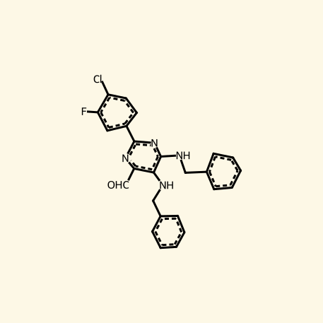 O=Cc1nc(-c2ccc(Cl)c(F)c2)nc(NCc2ccccc2)c1NCc1ccccc1